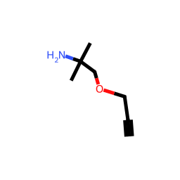 C#CCOCC(C)(C)N